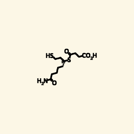 NC(=O)CCCC[C@H](CCS)SC(=O)CCC(=O)O